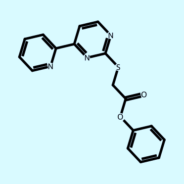 O=C(CSc1nccc(-c2ccccn2)n1)Oc1ccccc1